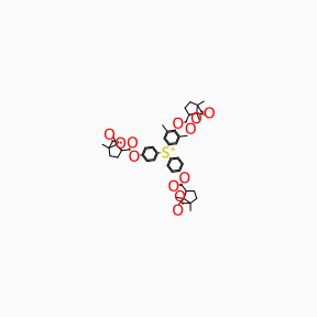 Cc1cc([S+](c2ccc(OC(=O)C34CCC(C)(C(=O)O3)C4(C)C)cc2)c2ccc(OC(=O)C34CCC(C)(C(=O)O3)C4(C)C)cc2)cc(C)c1OC(=O)C12CCC(C)(C(=O)O1)C2(C)C